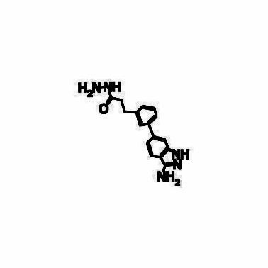 NNC(=O)CCc1cccc(-c2ccc3c(N)n[nH]c3c2)c1